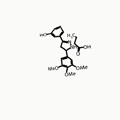 CCCC(=O)O.COc1cc(C2CC(c3cccc(O)c3)=NN2)cc(OC)c1OC